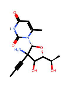 CC#CC1(N)C(O)[C@@H]([C@@H](C)O)O[C@H]1n1c(C)cc(=O)[nH]c1=O